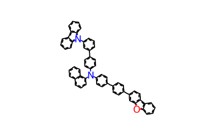 c1cc(-c2ccc(N(c3ccc(-c4ccc(-c5ccc6c(c5)oc5ccccc56)cc4)cc3)c3cccc4ccccc34)cc2)cc(-n2c3ccccc3c3ccccc32)c1